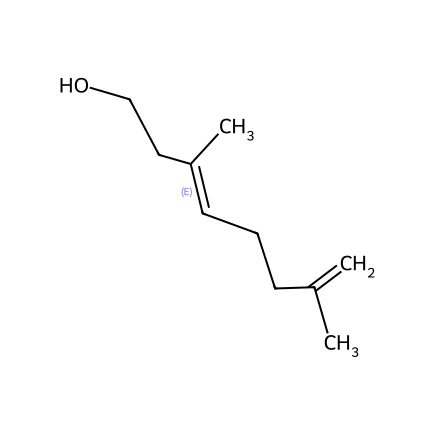 C=C(C)CC/C=C(\C)CCO